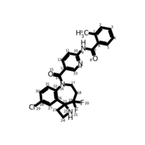 Cc1ccccc1C(=O)Nc1ccc(C(=O)N2CCC(F)(F)C3(CCN3)c3cc(Cl)ccc32)cn1